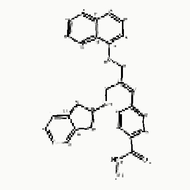 O=C(NO)c1ccc(C=C(CNC2Cc3ccccc3C2)COc2cccc3ccccc23)cc1